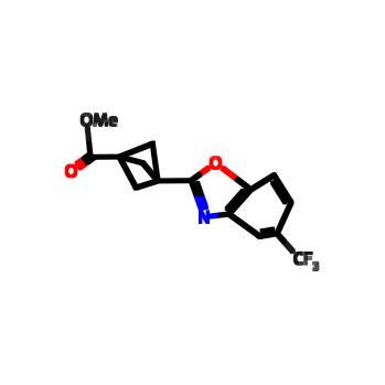 COC(=O)C12CC(c3nc4cc(C(F)(F)F)ccc4o3)(C1)C2